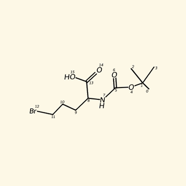 CC(C)(C)OC(=O)NC(CCCBr)C(=O)O